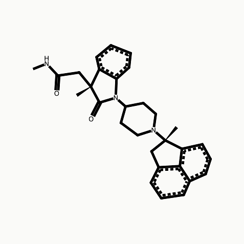 CNC(=O)C[C@@]1(C)C(=O)N(C2CCN([C@@]3(C)Cc4cccc5cccc3c45)CC2)c2ccccc21